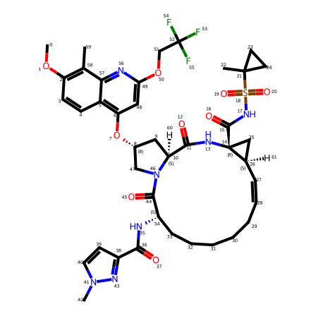 COc1ccc2c(O[C@@H]3C[C@H]4C(=O)N[C@]5(C(=O)NS(=O)(=O)C6(C)CC6)C[C@H]5C=CCCCCC[C@H](NC(=O)c5ccn(C)n5)C(=O)N4C3)cc(OCC(F)(F)F)nc2c1C